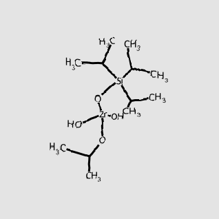 CC(C)[O][Zr]([OH])([OH])[O][Si](C(C)C)(C(C)C)C(C)C